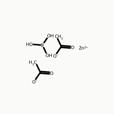 CC(=O)[O-].CC(=O)[O-].OB(O)O.[Zn+2]